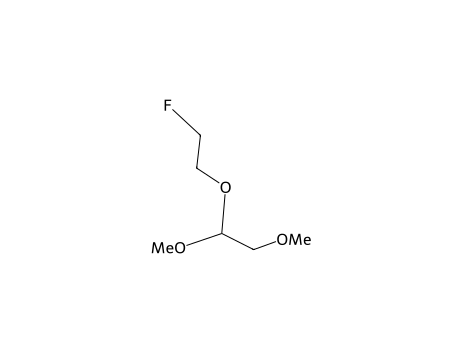 COCC(OC)OCCF